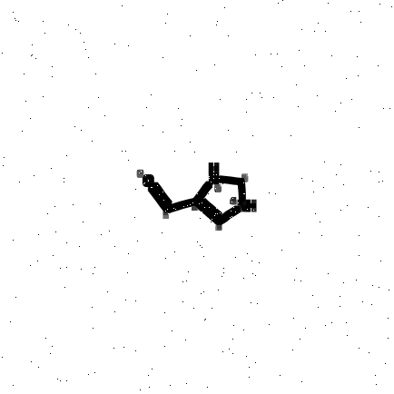 O=CC1=CNCN1